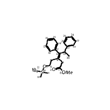 COC(=O)CC(CCO[Si](C)(C)C(C)(C)C)=C(c1ccccc1)C(C)c1ccccc1